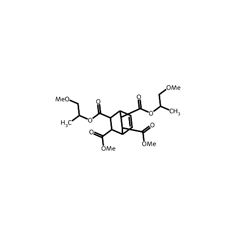 COCC(C)OC(=O)C1C2C=CC(C1C(=O)OC)C(C(=O)OC)C2C(=O)OC(C)COC